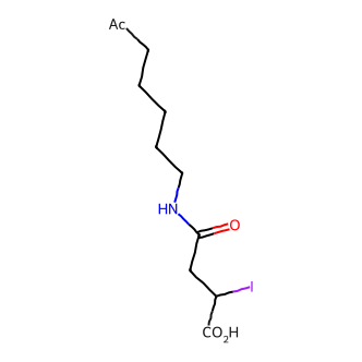 CC(=O)CCCCCNC(=O)CC(I)C(=O)O